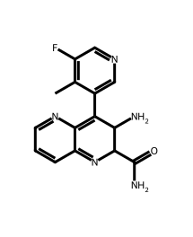 Cc1c(F)cncc1C1=c2ncccc2=NC(C(N)=O)C1N